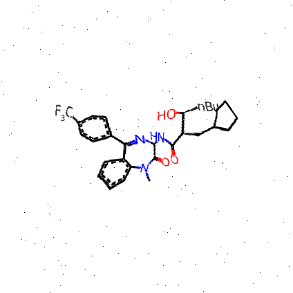 CCCC[C@H](O)[C@@H](CC1CCCC1)C(=O)NC1N=C(c2ccc(C(F)(F)F)cc2)c2ccccc2N(C)C1=O